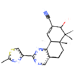 Cc1nc(-c2ncc3c(n2)[C@@]2(C)C=C(C#N)C(O)C(C)(C)[C@@H]2CC3)cs1